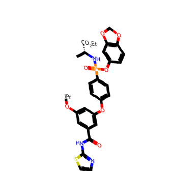 CCOC(=O)[C@@H](C)NP(=O)(Oc1ccc2c(c1)OCO2)c1ccc(Oc2cc(OC(C)C)cc(C(=O)Nc3nccs3)c2)cc1